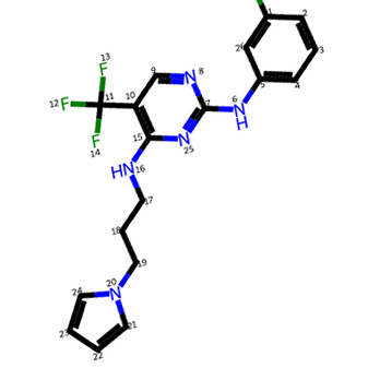 Fc1cccc(Nc2ncc(C(F)(F)F)c(NCCCn3cccc3)n2)c1